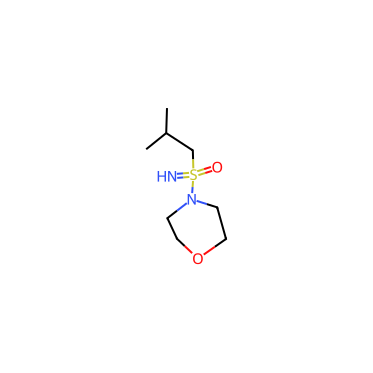 CC(C)CS(=N)(=O)N1CCOCC1